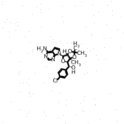 CC1(C)O[C@H]2[C@H](n3ccc4c(N)ncnc43)O[C@H]([C@H](O)c3ccc(Cl)cc3)[C@@]2(C)O1